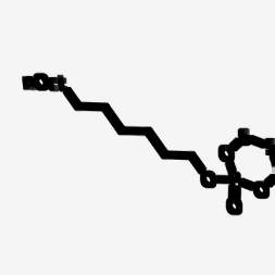 CCCCCCCCCCCCCCOP1(=O)OSSSO1